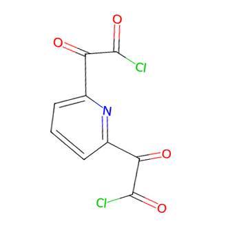 O=C(Cl)C(=O)c1cccc(C(=O)C(=O)Cl)n1